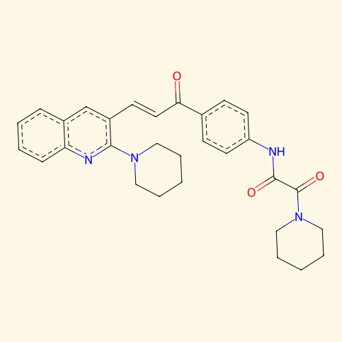 O=C(Nc1ccc(C(=O)/C=C/c2cc3ccccc3nc2N2CCCCC2)cc1)C(=O)N1CCCCC1